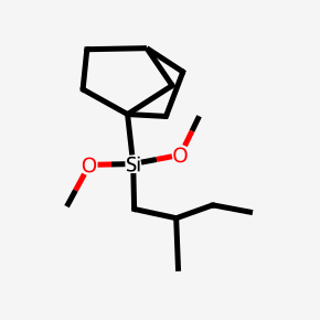 CCC(C)C[Si](OC)(OC)C12CCC(CC1)C2